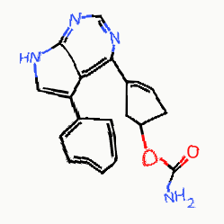 NC(=O)OC1CC=C(c2ncnc3[nH]cc(-c4ccccc4)c23)C1